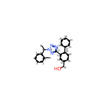 Cc1ccccc1C(C)n1nnc(-c2cc(CO)ccc2-c2ccccc2)n1